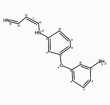 Bc1cccc(Oc2cccc(N/C=C\C=N)c2)c1